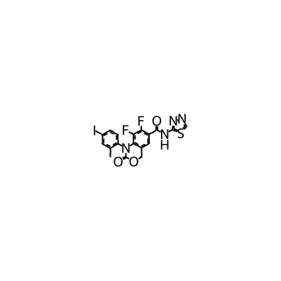 Cc1cc(I)ccc1N1C(=O)OCc2cc(C(=O)Nc3nncs3)c(F)c(F)c21